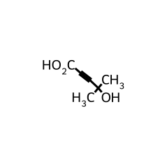 CC(C)(O)C#CC(=O)O